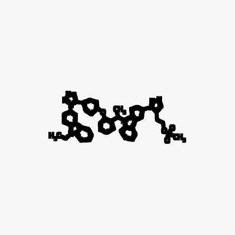 CCn1c2ccccc2c2cc(-n3nncc3-c3ccc(Oc4ccccc4C(C)n4c5ccccc5c5cc(-n6nncc6CCOS(C)(=O)=O)ccc54)cc3)ccc21